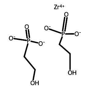 O=P([O-])([O-])CCO.O=P([O-])([O-])CCO.[Zr+4]